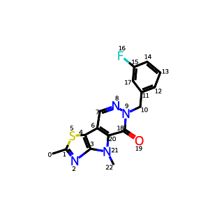 Cc1nc2c(s1)c1cnn(Cc3cccc(F)c3)c(=O)c1n2C